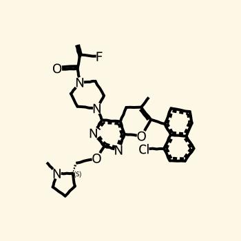 C=C(F)C(=O)N1CCN(c2nc(OC[C@@H]3CCCN3C)nc3c2CC(C)=C(c2cccc4cccc(Cl)c24)O3)CC1